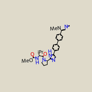 C=N/C=C(\NC)c1ccc(-c2ccc(-c3cnc(C4CCCN4C(=O)[C@@H](NC(=O)OC)C(C)C)[nH]3)cc2)cc1